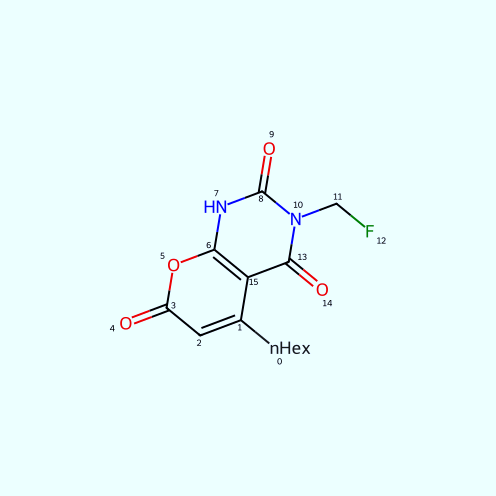 CCCCCCc1cc(=O)oc2[nH]c(=O)n(CF)c(=O)c12